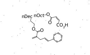 C=C(CC=Cc1ccccc1)C(=O)OCCCCCCCCCCCC.CCCCCCCCOC(=O)/C=C\C(=O)O